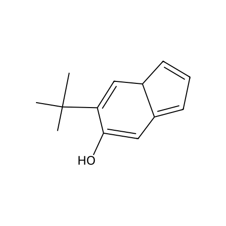 CC(C)(C)C1=CC2C=CC=C2C=C1O